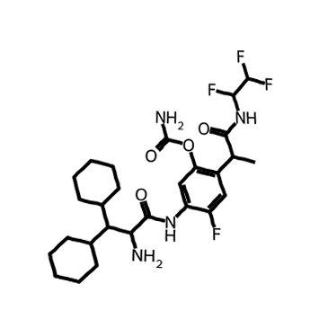 CC(C(=O)NC(F)C(F)F)c1cc(F)c(NC(=O)C(N)C(C2CCCCC2)C2CCCCC2)cc1OC(N)=O